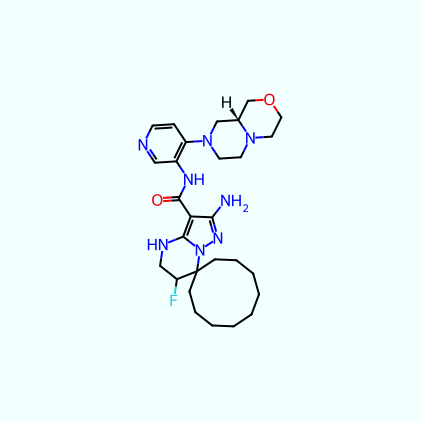 Nc1nn2c(c1C(=O)Nc1cnccc1N1CCN3CCOC[C@H]3C1)NCC(F)C21CCCCCCCCC1